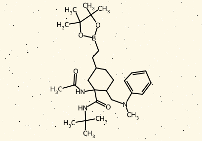 CC(=O)NC1(C(=O)NC(C)(C)C)CC(CCB2OC(C)(C)C(C)(C)O2)CCC1CN(C)c1ccccc1